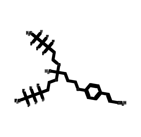 CC(CCCOc1ccc(/C=C/C(=O)O)cc1)(OCCC(F)(F)C(F)(F)C(F)(F)C(F)(F)F)OCCC(F)(F)C(F)(F)C(F)(F)C(F)(F)F